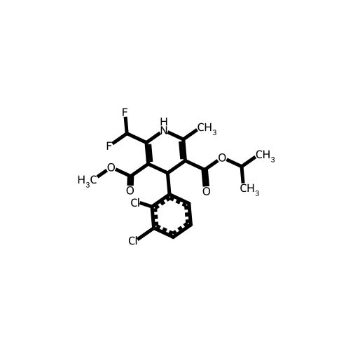 COC(=O)C1=C(C(F)F)NC(C)=C(C(=O)OC(C)C)C1c1cccc(Cl)c1Cl